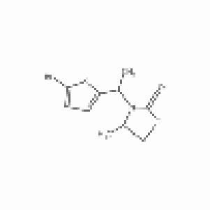 CC1COC(=O)N1C(C)c1ccc(Br)s1